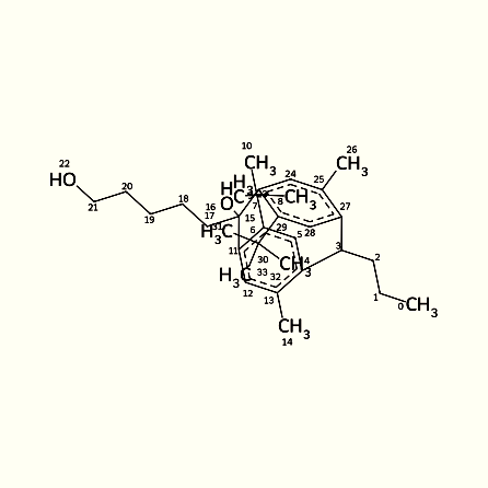 CCCC1c2cc(C(C)(C)C)c(cc2C)C(O)(CCCCCO)c2cc(C)c1cc2C(C)(C)C